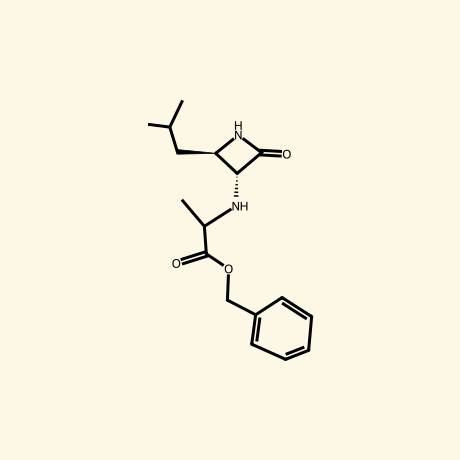 CC(C)C[C@H]1NC(=O)[C@@H]1NC(C)C(=O)OCc1ccccc1